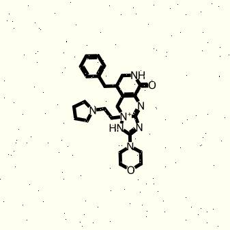 O=C1NCC(Cc2ccccc2)C2=C1N=C1N=C(N3CCOCC3)N[N+]1(CCN1CCCC1)C2